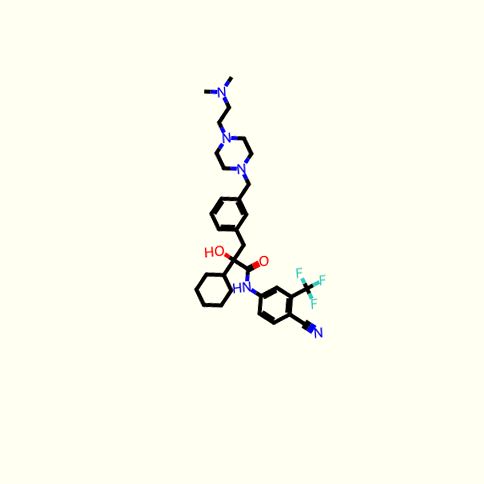 CN(C)CCN1CCN(Cc2cccc(CC(O)(C(=O)Nc3ccc(C#N)c(C(F)(F)F)c3)C3CCCCC3)c2)CC1